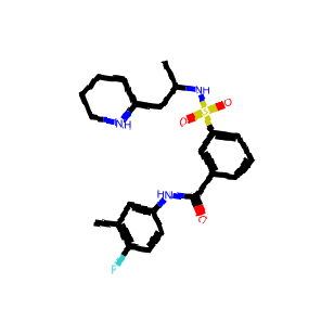 Cc1cc(NC(=O)c2cccc(S(=O)(=O)NC(C)CC3CCCCN3)c2)ccc1F